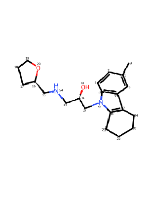 Cc1ccc2c(c1)c1c(n2C[C@H](O)CNC[C@H]2CCCO2)CCCC1